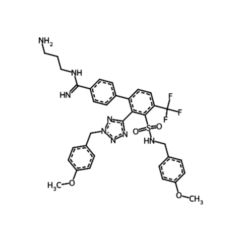 COc1ccc(CNS(=O)(=O)c2c(C(F)(F)F)ccc(-c3ccc(C(=N)NCCCN)cc3)c2-c2nnn(Cc3ccc(OC)cc3)n2)cc1